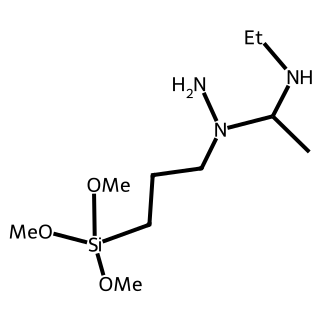 CCNC(C)N(N)CCC[Si](OC)(OC)OC